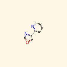 [c]1ccc(-c2cocn2)nc1